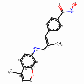 CC(=Cc1ccc(C(=O)NO)cc1)CNc1ccc2c(c1)OCC=C2C